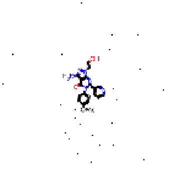 COc1ccc(-n2c(-c3cccnc3)nc3c(c(N)nn3CCO)c2=O)cc1